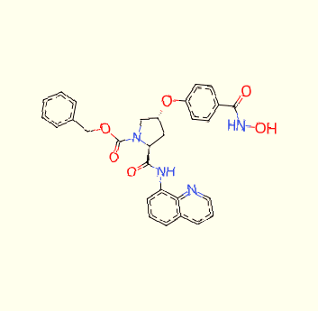 O=C(NO)c1ccc(O[C@@H]2C[C@@H](C(=O)Nc3cccc4cccnc34)N(C(=O)OCc3ccccc3)C2)cc1